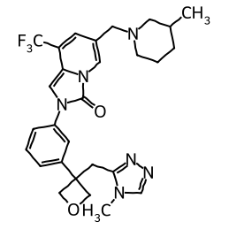 CC1CCCN(Cc2cc(C(F)(F)F)c3cn(-c4cccc(C5(Cc6nncn6C)COC5)c4)c(=O)n3c2)C1